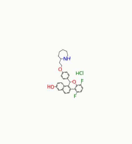 Cl.Oc1ccc2c3c(ccc2c1)-c1c(F)ccc(F)c1OC3c1ccc(OCCC2CCCCCN2)cc1